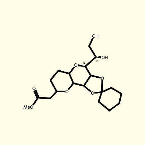 COC(=O)CC1CCC2O[C@@H]([C@H](O)CO)C3OC4(CCCCC4)OC3C2O1